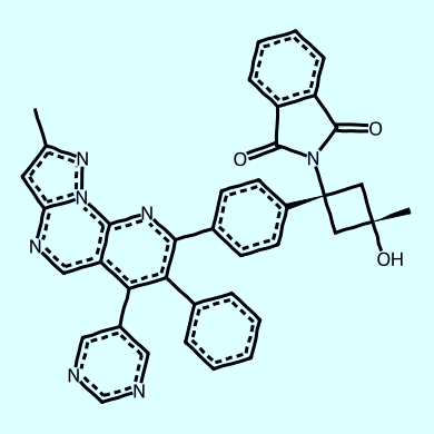 Cc1cc2ncc3c(-c4cncnc4)c(-c4ccccc4)c(-c4ccc([C@]5(N6C(=O)c7ccccc7C6=O)C[C@@](C)(O)C5)cc4)nc3n2n1